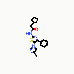 Cc1cn(-c2sc(NC(=O)CC3CCCC3)nc2-c2ccccc2)cn1